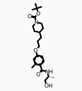 Cc1cc(OCCCC2CCN(C(=O)OC(C)(C)C)CC2)ccc1C(=O)N[C@H](C)CO